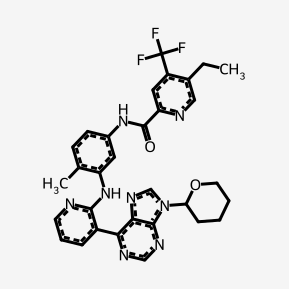 CCc1cnc(C(=O)Nc2ccc(C)c(Nc3ncccc3-c3ncnc4c3ncn4C3CCCCO3)c2)cc1C(F)(F)F